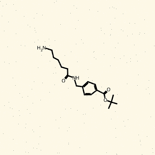 CC(C)(C)OC(=O)c1ccc(CNC(=O)CCCCCN)cc1